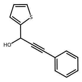 OC(C#Cc1ccccc1)c1cccs1